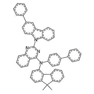 CC1(C)c2ccccc2-c2c(N(c3ccc(-c4ccccc4)cc3)c3nc(-n4c5ccccc5c5cc(-c6ccccc6)ccc54)nc4ccccc34)cccc21